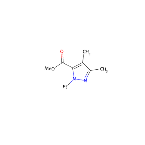 CCn1nc(C)c(C)c1C(=O)OC